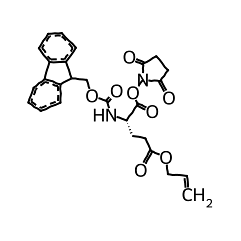 C=CCOC(=O)CC[C@H](NC(=O)OCC1c2ccccc2-c2ccccc21)C(=O)ON1C(=O)CCC1=O